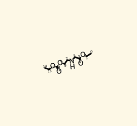 CCOC(=O)CNCCOC(=O)OCC